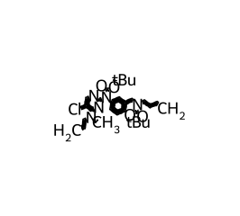 C=CCCN(Cc1cccc(N(C(=O)OC(C)(C)C)c2ncc(Cl)c(N(C)CC=C)n2)c1)C(=O)OC(C)(C)C